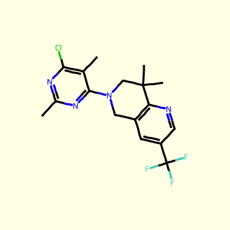 Cc1nc(Cl)c(C)c(N2Cc3cc(C(F)(F)F)cnc3C(C)(C)C2)n1